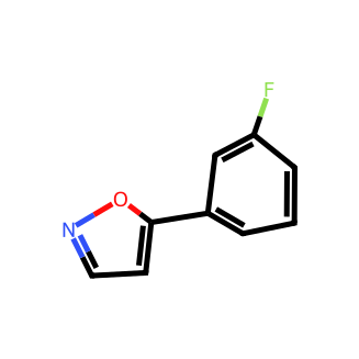 Fc1cccc(-c2ccno2)c1